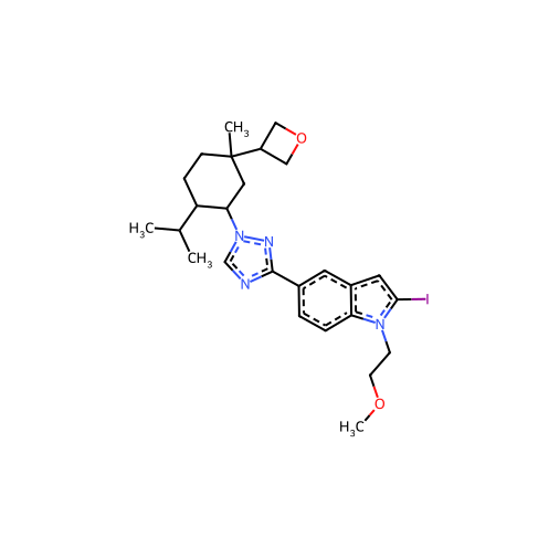 COCCn1c(I)cc2cc(-c3ncn(C4CC(C)(C5COC5)CCC4C(C)C)n3)ccc21